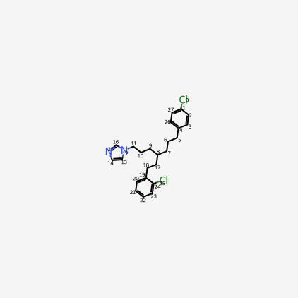 Clc1ccc(CCCC(CCCn2ccnc2)CCc2ccccc2Cl)cc1